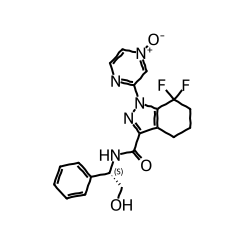 O=C(N[C@H](CO)c1ccccc1)c1nn(-c2c[n+]([O-])ccn2)c2c1CCCC2(F)F